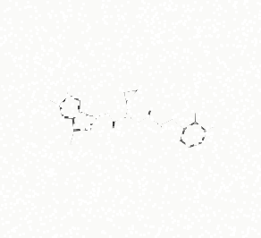 CC(=O)c1cn(CC(=O)N(CC(=O)NCc2cccc(Cl)c2F)C2CC2)c2cnc(Br)cc12